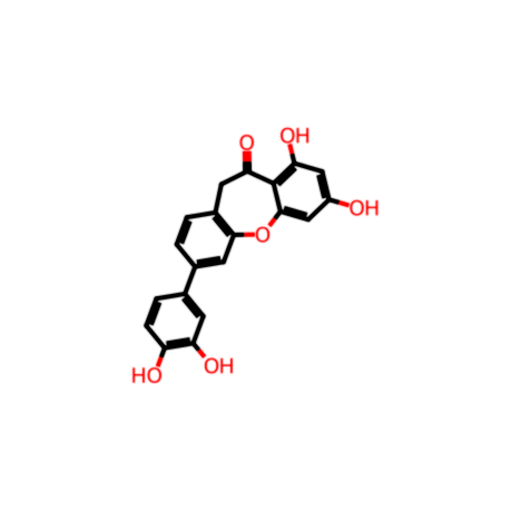 O=C1Cc2ccc(-c3ccc(O)c(O)c3)cc2Oc2cc(O)cc(O)c21